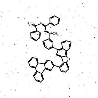 C=C(/N=C(\C=C(/C)c1cccc(-c2cc3c(oc4cccc(-c5ccc6c7ccccc7c7ccccc7c6c5)c43)c3ccccc23)c1)c1ccccc1)c1ccccc1